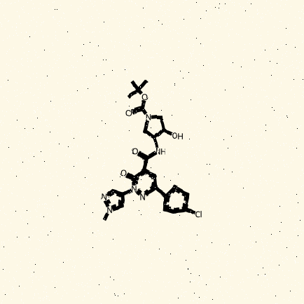 Cn1cc(-n2nc(-c3ccc(Cl)cc3)cc(C(=O)NC3CN(C(=O)OC(C)(C)C)CC3O)c2=O)cn1